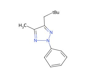 Cc1nn(-c2ccccc2)nc1CC(C)(C)C